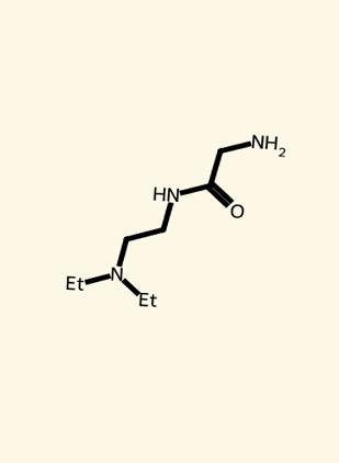 CCN(CC)CCNC(=O)CN